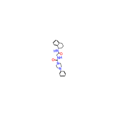 O=C(CNC(=O)N1CCN(c2ccccc2)CC1)NC1CCCc2ccccc21